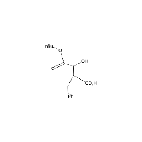 CCCCOC(=O)C(O)C(CC(C)C)C(=O)O